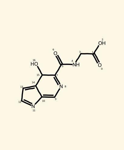 O=C(O)CNC(=O)C1=NC=C2N=CC=C2C1O